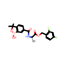 CC(C)[C@H](NC(=O)c1ccc2c(c1)B(O)OC2(C)C)C(=O)OCc1ccc(F)cc1F